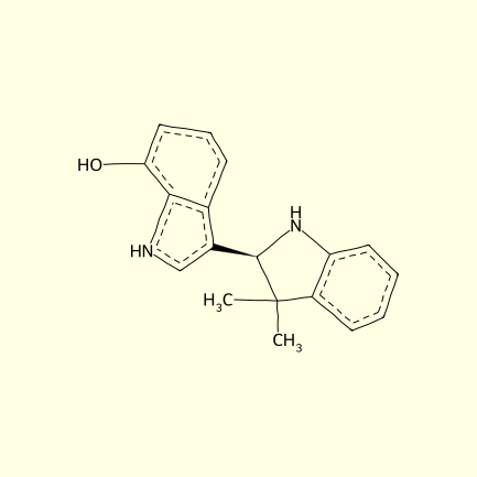 CC1(C)c2ccccc2N[C@@H]1c1c[nH]c2c(O)cccc12